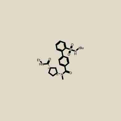 CCNC(=O)[C@H]1CC[C@@H](N(C)C(=O)c2ccc(-c3ccccc3S(=O)(=O)NC(C)(C)C)cc2)C1